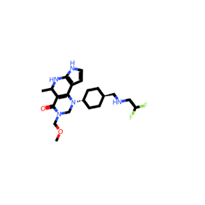 COCN1CN([C@H]2CC[C@H](CNCC(F)F)CC2)C2=C(C1=O)C(C)Nc1[nH]ccc12